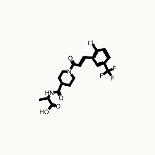 CC(NC(=O)C1CCN(C(=O)C=Cc2cc(C(F)(F)F)ccc2Cl)CC1)C(=O)O